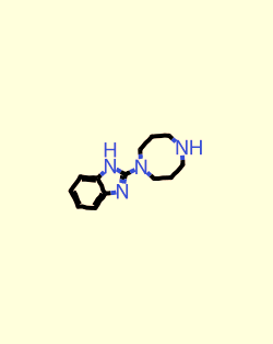 c1ccc2[nH]c(N3CCCNCCC3)nc2c1